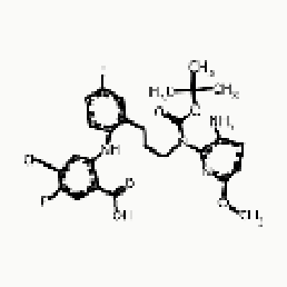 COc1ccc(N)c(N(CCCc2cc(F)ccc2Nc2cc(Cl)c(F)cc2C(=O)O)C(=O)OC(C)(C)C)n1